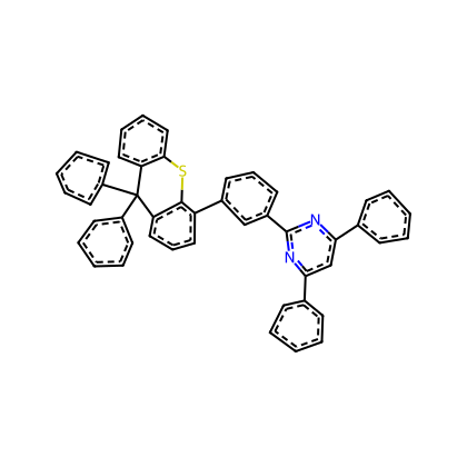 c1ccc(-c2cc(-c3ccccc3)nc(-c3cccc(-c4cccc5c4Sc4ccccc4C5(c4ccccc4)c4ccccc4)c3)n2)cc1